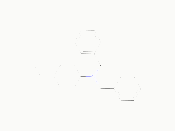 C[CH]C1CCC(N(Cc2ccccc2)Cc2ccccc2)CC1